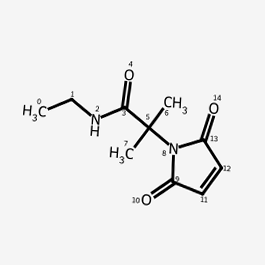 CCNC(=O)C(C)(C)N1C(=O)C=CC1=O